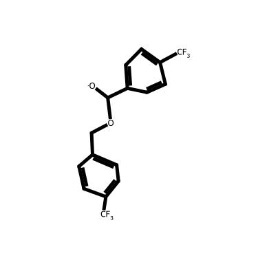 [O]C(OCc1ccc(C(F)(F)F)cc1)c1ccc(C(F)(F)F)cc1